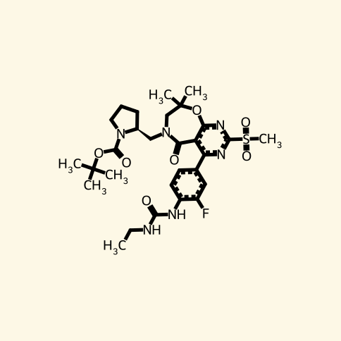 CCNC(=O)Nc1ccc(-c2nc(S(C)(=O)=O)nc3c2C(=O)N(C[C@@H]2CCCN2C(=O)OC(C)(C)C)CC(C)(C)O3)cc1F